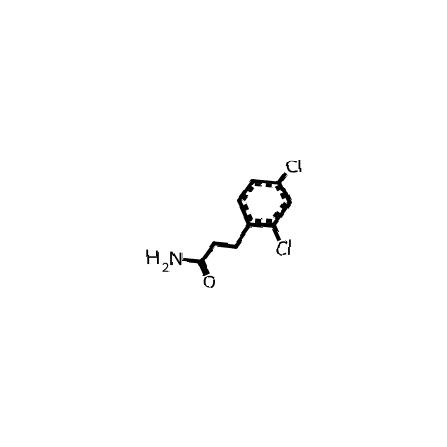 NC(=O)CCc1ccc(Cl)cc1Cl